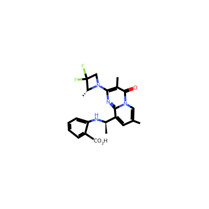 Cc1cc([C@@H](C)Nc2ccccc2C(=O)O)c2nc(N3CC(F)(F)[C@H]3C)c(C)c(=O)n2c1